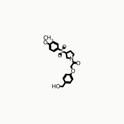 COc1ccc(S(=O)(=O)C2CCN(C(=O)COc3ccc(CO)cc3)C2)cc1